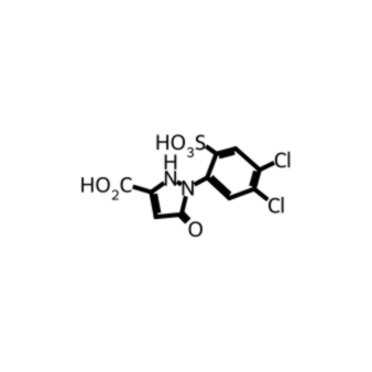 O=C(O)c1cc(=O)n(-c2cc(Cl)c(Cl)cc2S(=O)(=O)O)[nH]1